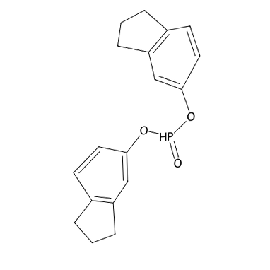 O=[PH](Oc1ccc2c(c1)CCC2)Oc1ccc2c(c1)CCC2